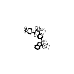 CN(C(=O)N1CCS(=O)(=O)CC1)[C@@H](c1ccc(NC2Cc3ccccc3C2(C)C)cn1)C(F)(F)F